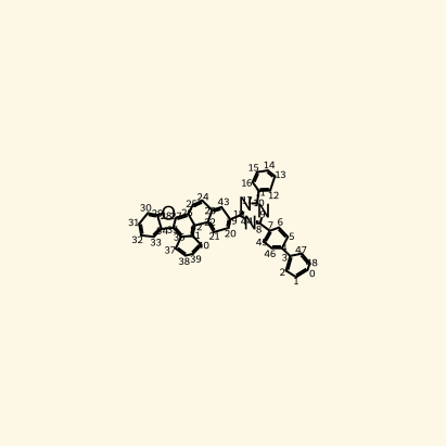 c1ccc(-c2ccc(-c3nc(-c4ccccc4)nc(-c4ccc5c(ccc6c7oc8ccccc8c7c7ccccc7c56)c4)n3)cc2)cc1